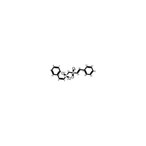 O=S(=O)(/C=C\c1ccccc1)CS(=O)(=O)/C=C/c1ccccc1